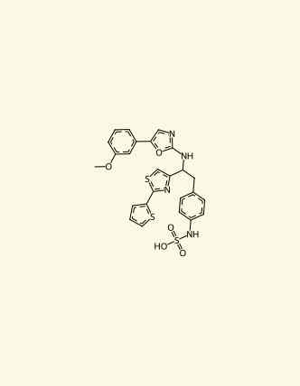 COc1cccc(-c2cnc(NC(Cc3ccc(NS(=O)(=O)O)cc3)c3csc(-c4cccs4)n3)o2)c1